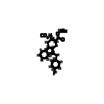 CC(C)(C)OC(=O)N1Cc2c(c3ccccc3n2Cc2ccc(F)cc2)CC1C(=O)O